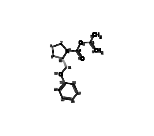 C=C(C)OC(=O)N1CCC[C@H]1COc1ccccc1